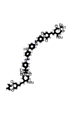 C=C(C)C(=C)N1C(=O)CC(CCCC2CC(=O)N(C(CC)(CC)C(C)(CC)c3ccc(/N=N/c4ccc(Bc5ccc(/N=N/c6ccc(N7C(=O)CC(CCC8CC(=O)N(C(CC)CC)C(=O)CC8CCCC)CC7=O)cc6)cc5)cc4)cc3)C(=O)CC2CCCC)CC1=O